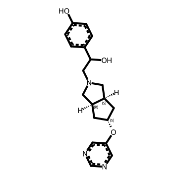 Oc1ccc(C(O)CN2C[C@H]3C[C@H](Oc4cncnc4)C[C@H]3C2)cc1